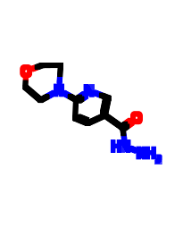 NNC(=O)c1ccc(N2CCOCC2)nc1